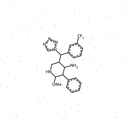 COC1NCC(C(c2cccc(C(F)(F)F)c2)n2cnnn2)C(N)C1c1ccccc1